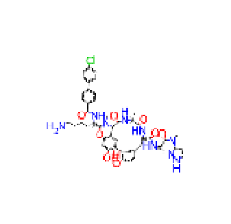 C[C@@H]1NC(=O)C(N(C)C(=O)[C@H](CCCCN)NC(=O)c2ccc(-c3ccc(Cl)cc3)cc2)c2ccc(O)c(c2)-c2cc(ccc2O)C[C@@H](C(=O)N[C@@H](C)C(=O)N(C)c2cc[nH]n2)NC1=O